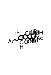 CC(=O)CCc1cc(C(C)C)c2c(c1O)C(=O)C1=C(O)[C@@]3(O)C(=O)C(C(C)=O)=C(O)C(C(C)C)[C@@]3(C)C[C@@]1(C)C2